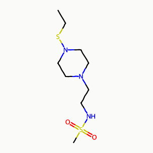 CCSN1CCN(CCNS(C)(=O)=O)CC1